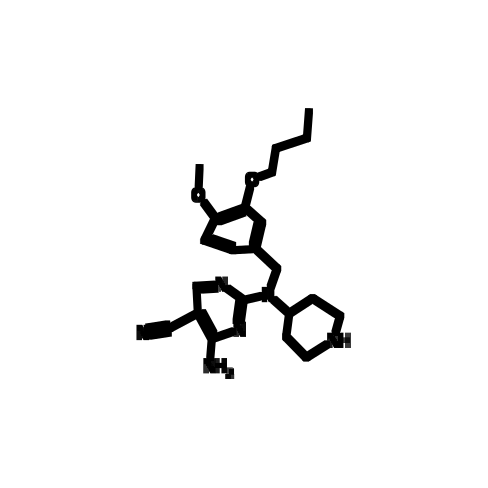 CCCCOc1cc(CN(c2ncc(C#N)c(N)n2)C2CCNCC2)ccc1OC